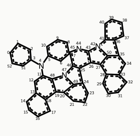 c1ccc(N(c2ccccc2)c2cc3ccccc3c3c4cccc5c6c7c8c9ccccc9cc9c%10ccccc%10n(c7ncc6n(c23)c54)c98)cc1